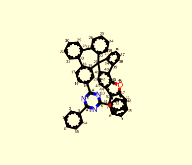 c1ccc(-c2nc(-c3ccccc3)nc(-c3ccc4c(c3)C3(c5ccccc5-c5ccccc5-4)c4ccccc4-c4c3ccc3c4oc4ccccc43)n2)cc1